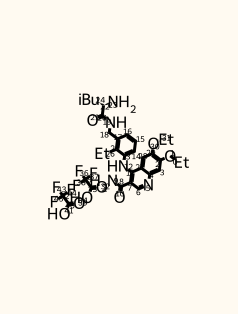 CCOc1cc2ncc(C(N)=O)c(Nc3cccc(CNC(=O)[C@@H](N)[C@@H](C)CC)c3CC)c2cc1OCC.O=C(O)C(F)(F)F.O=C(O)C(F)(F)F